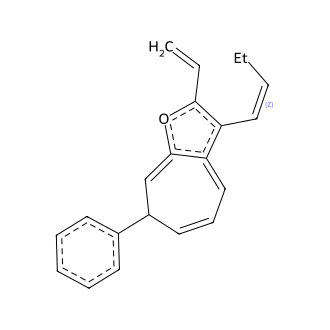 C=Cc1oc2c(c1/C=C\CC)=CC=CC(c1ccccc1)C=2